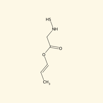 CC=COC(=O)CNS